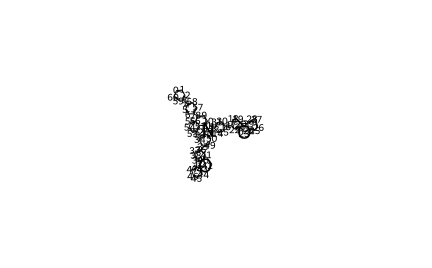 c1ccc(-c2ccc(-c3ccc(N(c4ccc(-c5ccc6c(c5)oc5ccccc56)cc4)c4ccc(-c5ccc6c(c5)oc5ccccc56)cc4)c4ccccc34)cc2)cc1